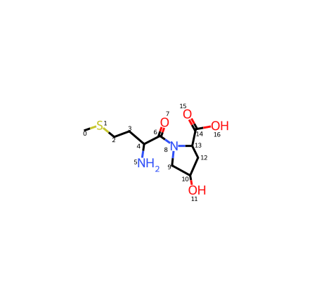 CSCCC(N)C(=O)N1CC(O)CC1C(=O)O